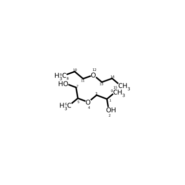 CC(O)COC(C)CO.CCCOCCC